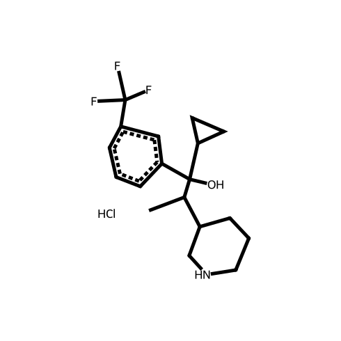 CC(C1CCCNC1)C(O)(c1cccc(C(F)(F)F)c1)C1CC1.Cl